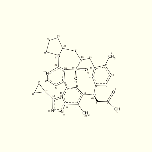 Cc1ccc([C@@H](CC(=O)O)c2ccn3c(C4CC4)nnc3c2C)cc1CN1CC2CCCN2c2ncccc2S1(=O)=O